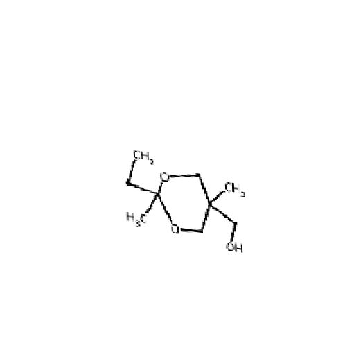 CCC1(C)OCC(C)(CO)CO1